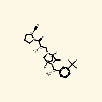 C[C@@H](c1cccc(C(F)(F)F)c1)N1C(=O)[C@@H]2C[C@H]1CN2C[C@H](N)C(=O)N1CCC[C@H]1C#N